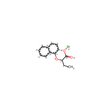 CCC(Oc1cccc2ccccc12)C(=O)OBr